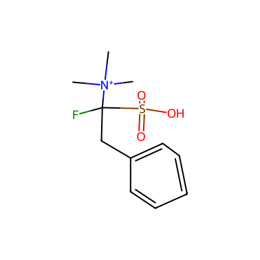 C[N+](C)(C)C(F)(Cc1ccccc1)S(=O)(=O)O